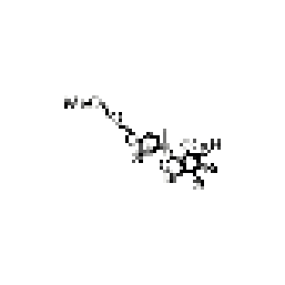 COCCOCCOc1ccc(NC(=O)c2c(Br)c(Br)c(Br)c(Br)c2C(=O)O)c[n+]1[O-]